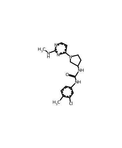 CNc1nccc(N2CCC(NC(=O)Nc3ccc(C)c(Cl)c3)C2)n1